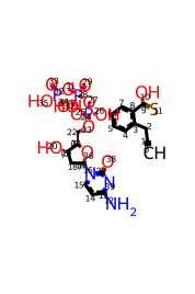 C#CCc1ccccc1C(O)=S.Nc1ccn([C@H]2C[C@H](O)[C@@H](COP(=O)(O)OP(=O)(O)OP(=O)(O)O)O2)c(=O)n1